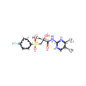 C[C@](O)(CS(=O)(=O)c1ccc(F)cc1)C(=O)Nc1ncc(C#N)c(C(F)(F)F)n1